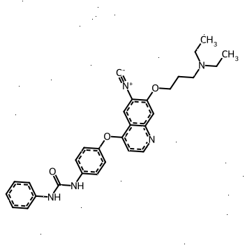 [C-]#[N+]c1cc2c(Oc3ccc(NC(=O)Nc4ccccc4)cc3)ccnc2cc1OCCCN(CC)CC